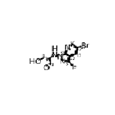 O=C[C@H](CO)Nn1nc(I)c2cc(Br)cnc21